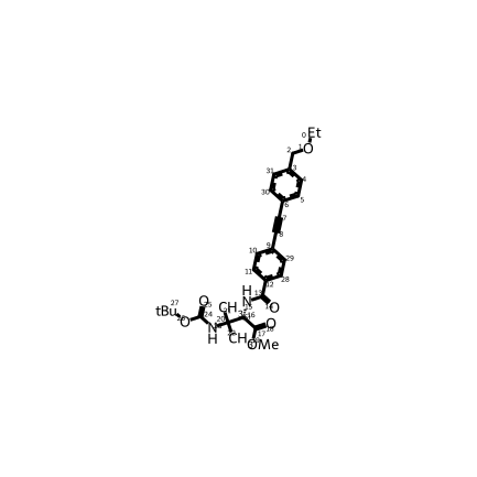 CCOCc1ccc(C#Cc2ccc(C(=O)N[C@H](C(=O)OC)C(C)(C)NC(=O)OC(C)(C)C)cc2)cc1